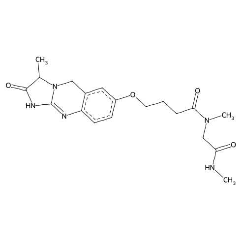 CNC(=O)CN(C)C(=O)CCCOc1ccc2c(c1)CN1C(=N2)NC(=O)C1C